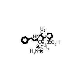 CCOC(=O)C(CCc1ccccc1)N[C@@H](C)C(=O)N1CCC[C@H]1C(=O)O.CS(N)(=O)=O